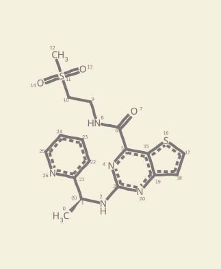 C[C@H](Nc1nc(C(=O)NCCS(C)(=O)=O)c2sccc2n1)c1ccccn1